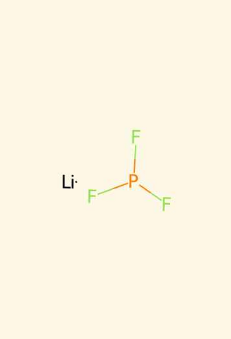 FP(F)F.[Li]